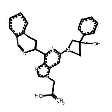 C=C(O)Cn1cnc2c(C3Cc4ccccc4C=N3)nc(N3CC(O)(c4ccccc4)C3)cc21